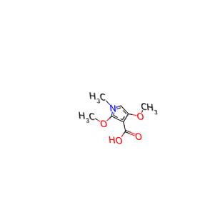 COc1cn(C)c(OC)c1C(=O)O